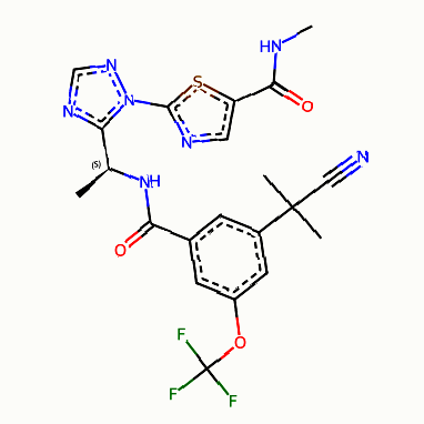 CNC(=O)c1cnc(-n2ncnc2[C@H](C)NC(=O)c2cc(OC(F)(F)F)cc(C(C)(C)C#N)c2)s1